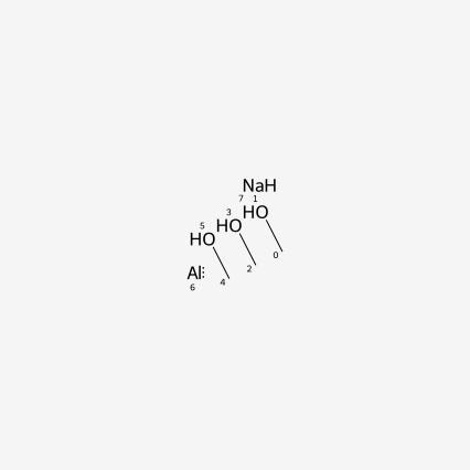 CO.CO.CO.[Al].[NaH]